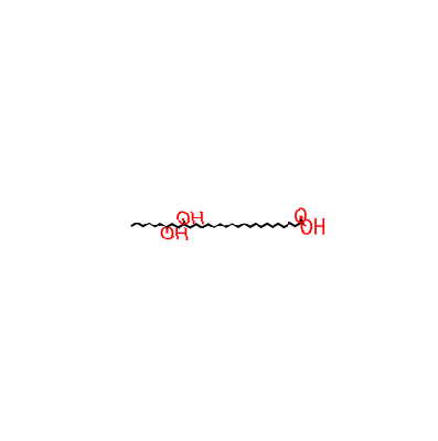 CCCCCCC(O)CCC(O)CCCCCCCCCCCCCCCCCCCC(=O)O